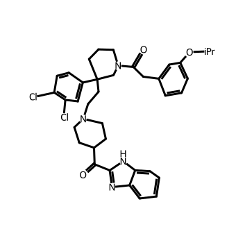 CC(C)Oc1cccc(CC(=O)N2CCCC(CCN3CCC(C(=O)c4nc5ccccc5[nH]4)CC3)(c3ccc(Cl)c(Cl)c3)C2)c1